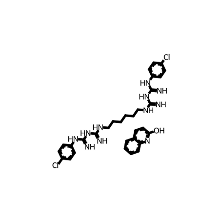 N=C(NCCCCCCNC(=N)NC(=N)Nc1ccc(Cl)cc1)NC(=N)Nc1ccc(Cl)cc1.Oc1ccc2ccccc2n1